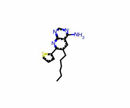 CCCCCCc1cc2c(N)ncnc2nc1-c1cccs1